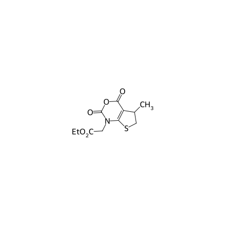 CCOC(=O)Cn1c2c(c(=O)oc1=O)C(C)CS2